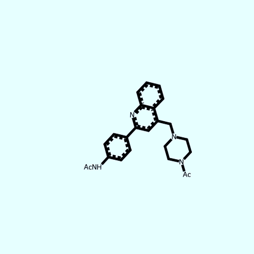 CC(=O)Nc1ccc(-c2cc(CN3CCN(C(C)=O)CC3)c3ccccc3n2)cc1